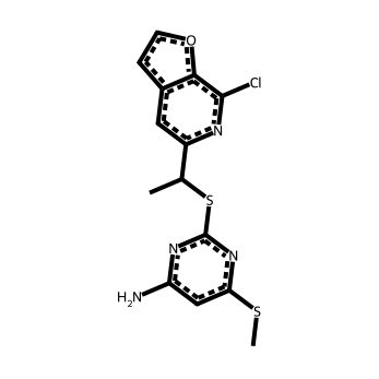 CSc1cc(N)nc(SC(C)c2cc3ccoc3c(Cl)n2)n1